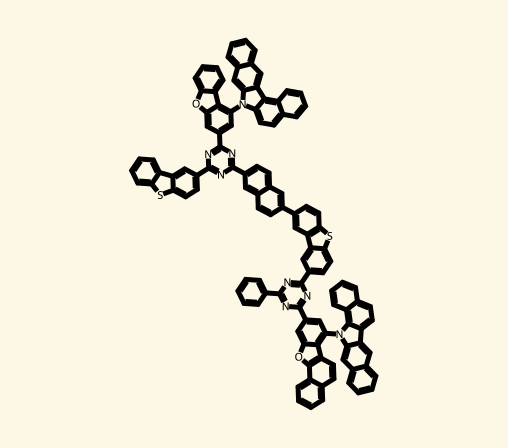 c1ccc(-c2nc(-c3cc(-n4c5cc6ccccc6cc5c5ccc6ccccc6c54)c4c(c3)oc3c5ccccc5ccc34)nc(-c3ccc4sc5ccc(-c6ccc7cc(-c8nc(-c9cc(-n%10c%11cc%12ccccc%12cc%11c%11c%12ccccc%12ccc%11%10)c%10c(c9)oc9ccccc9%10)nc(-c9ccc%10sc%11ccccc%11c%10c9)n8)ccc7c6)cc5c4c3)n2)cc1